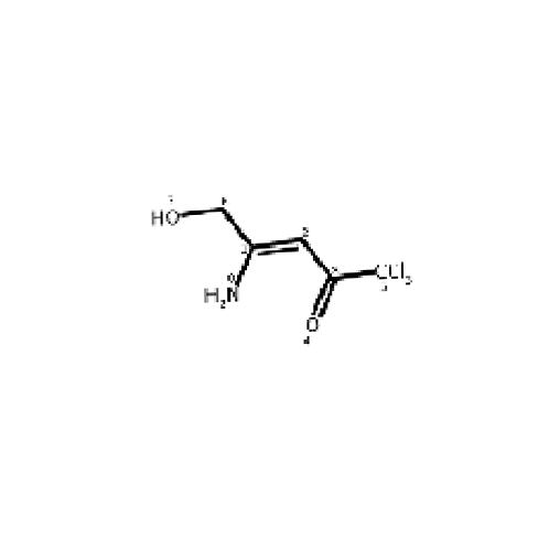 NC(=CC(=O)C(Cl)(Cl)Cl)CO